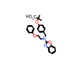 CC(C)(Oc1ccc(CN(CCOc2ccccc2)c2nc3ccccc3o2)cc1)C(=O)O